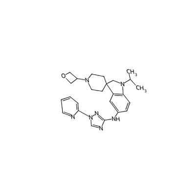 CC(C)N1CC2(CCN(C3COC3)CC2)c2cc(Nc3ncn(-c4ccccn4)n3)ccc21